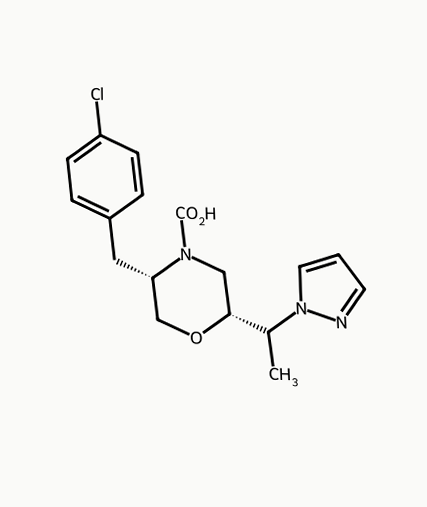 CC([C@H]1CN(C(=O)O)[C@@H](Cc2ccc(Cl)cc2)CO1)n1cccn1